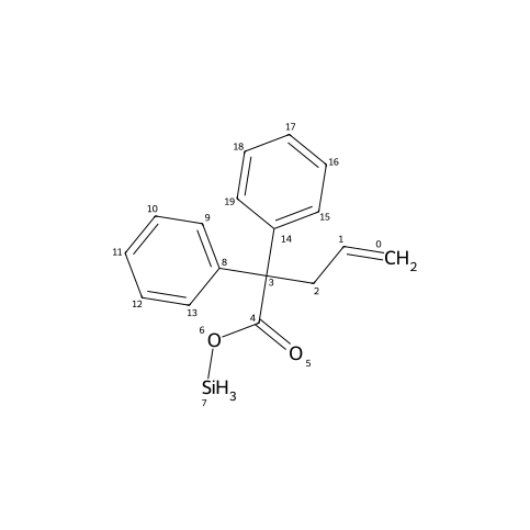 C=CCC(C(=O)O[SiH3])(c1ccccc1)c1ccccc1